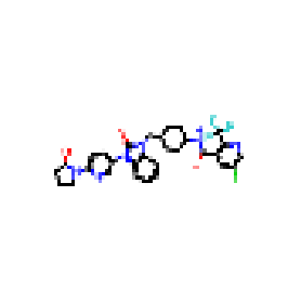 O=C(NC1CCC(Cn2c(=O)n(-c3ccc(N4CCCC4=O)nc3)c3ccccc32)CC1)c1cc(Cl)cnc1C(F)(F)F